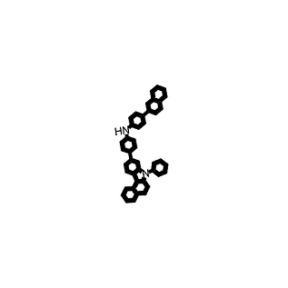 c1ccc(-n2c3cc(-c4ccc(Nc5ccc(-c6ccc7ccccc7c6)cc5)cc4)ccc3c3c4ccccc4ccc32)cc1